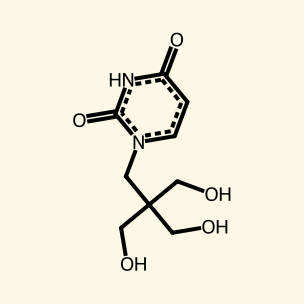 O=c1ccn(CC(CO)(CO)CO)c(=O)[nH]1